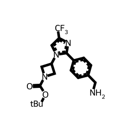 CC(C)(C)OC(=O)N1CC(n2cc(C(F)(F)F)nc2-c2ccc(CN)cc2)C1